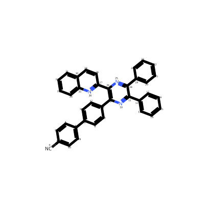 N#Cc1ccc(-c2ccc(-c3nc(-c4ccccc4)c(-c4ccccc4)nc3-c3ccc4ccccc4n3)cc2)cc1